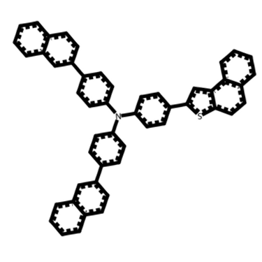 c1ccc2cc(-c3ccc(N(c4ccc(-c5ccc6ccccc6c5)cc4)c4ccc(-c5cc6c(ccc7ccccc76)s5)cc4)cc3)ccc2c1